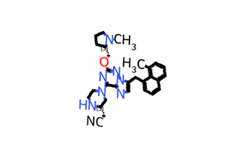 Cc1cccc2cccc(Cc3cnc4c(N5CCN[C@@H](CC#N)C5)nc(OC[C@@H]5CCCN5C)nn34)c12